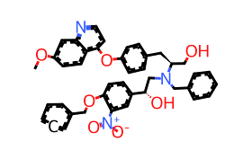 COc1ccc2c(Oc3ccc(C[C@@H](CO)N(Cc4ccccc4)C[C@H](O)c4ccc(OCc5ccccc5)c([N+](=O)[O-])c4)cc3)ccnc2c1